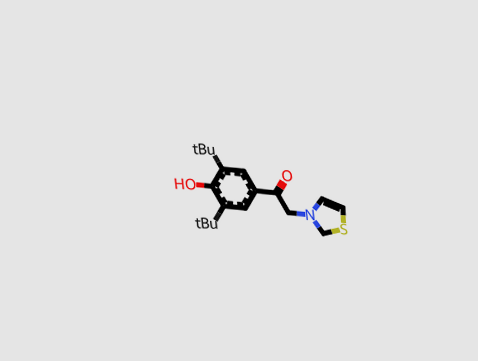 CC(C)(C)c1cc(C(=O)CN2C=CSC2)cc(C(C)(C)C)c1O